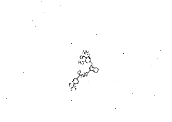 NC(=O)c1ccc(Cn2cc(CCNC(=O)c3ccc(C(F)(F)F)cc3)c3ccccc32)cc1O